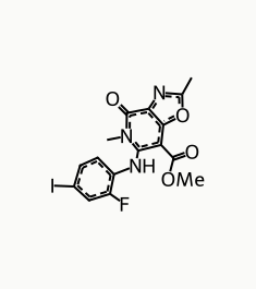 COC(=O)c1c(Nc2ccc(I)cc2F)n(C)c(=O)c2nc(C)oc12